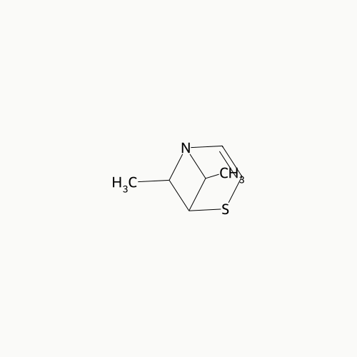 CC1C2SC=CN1C2C